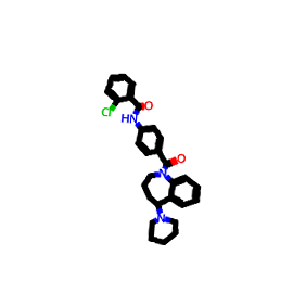 O=C(Nc1ccc(C(=O)N2CCCC(N3CCCCC3)c3ccccc32)cc1)c1ccccc1Cl